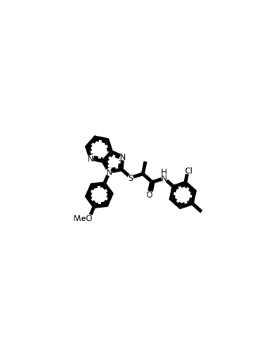 COc1ccc(-n2c(SC(C)C(=O)Nc3ccc(C)cc3Cl)nc3cccnc32)cc1